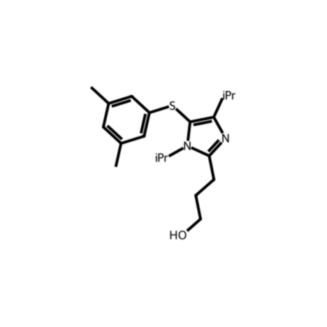 Cc1cc(C)cc(Sc2c(C(C)C)nc(CCCO)n2C(C)C)c1